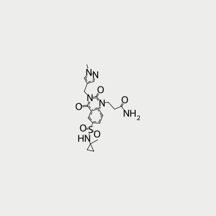 Cn1cc(Cn2c(=O)c3cc(S(=O)(=O)NC4(C)CC4)ccc3n(CCC(N)=O)c2=O)cn1